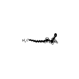 CCCCCCCCCCCCCCCCOC(=O)OC[C@H]1OC(=O)[C@@](C)(O)[C@@H]1OC(=O)OCc1ccccc1